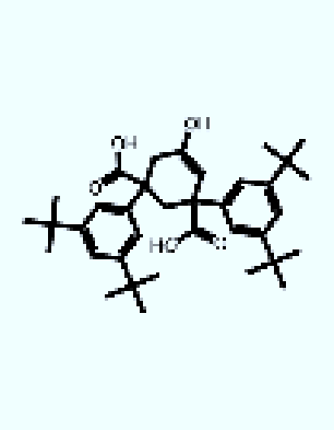 CC(C)(C)c1cc(C(C)(C)C)cc(C2(C(=O)O)C=C(O)CC(C(=O)O)(c3cc(C(C)(C)C)cc(C(C)(C)C)c3)C2)c1